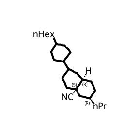 CCCCCCC1CCC(C2CC[C@]3(C#N)C[C@H](CCC)CC[C@@H]3C2)CC1